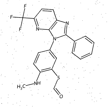 CNc1ccc(-n2c(-c3ccccc3)nc3ccc(C(F)(F)F)nc32)cc1SC=O